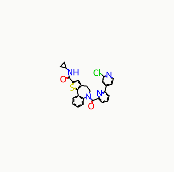 O=C(NC1CC1)c1cc2c(s1)-c1ccccc1N(C(=O)c1cccc(-c3ccnc(Cl)c3)n1)CC2